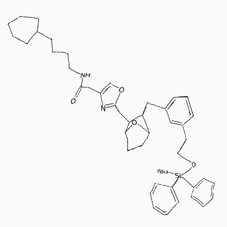 CC(C)(C)[Si](OCCc1cccc(CC2C3CCC(O3)C2c2nc(C(=O)NCCCCC3CCCCC3)co2)c1)(c1ccccc1)c1ccccc1